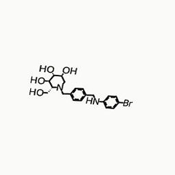 OC[C@@H]1[C@@H](O)[C@H](O)[C@@H](O)CN1Cc1ccc(CNc2ccc(Br)cc2)cc1